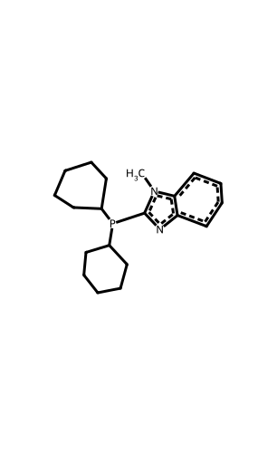 Cn1c(P(C2CCCCC2)C2CCCCC2)nc2ccccc21